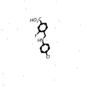 O=C(O)c1ccc(CNc2ccc(Cl)cc2)c(F)c1